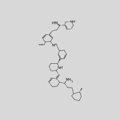 C=CC1C=CC(CCC(=N)C2=CCCNC2)=CC1/N=C/C1C=C([C@@H]2CCCC(/C=C3\C=CCCC3C(N)CCC3CCCC[C@@H]3C)N2)C=CC1